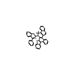 CC1(C)c2c(ccc3ccccc23)-c2c(c3sc4ccccc4c3c3ccccc23)N1c1nc(-c2ccccc2)c2ccccc2n1